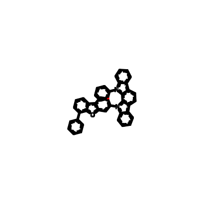 c1ccc(-c2cccc3c2oc2cc(-n4c5ccccc5c5ccc6c7ccccc7n(-c7ccccc7)c6c54)ccc23)cc1